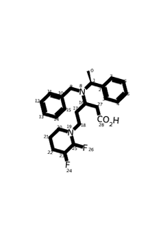 C[C@@H](c1ccccc1)N(Cc1ccccc1)C(CCN1CCCC(F)C1F)CC(=O)O